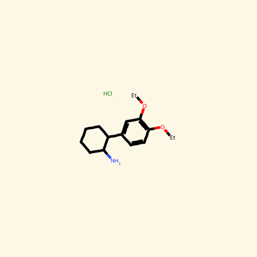 CCOc1ccc(C2CCCCC2N)cc1OCC.Cl